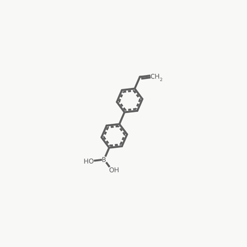 C=Cc1ccc(-c2ccc(B(O)O)cc2)cc1